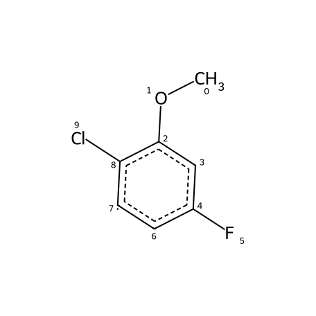 COc1cc(F)c[c]c1Cl